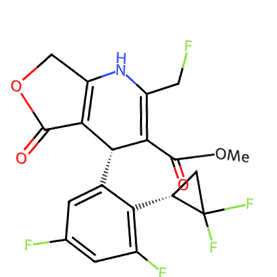 COC(=O)C1=C(CF)NC2=C(C(=O)OC2)[C@H]1c1cc(F)cc(F)c1[C@@H]1CC1(F)F